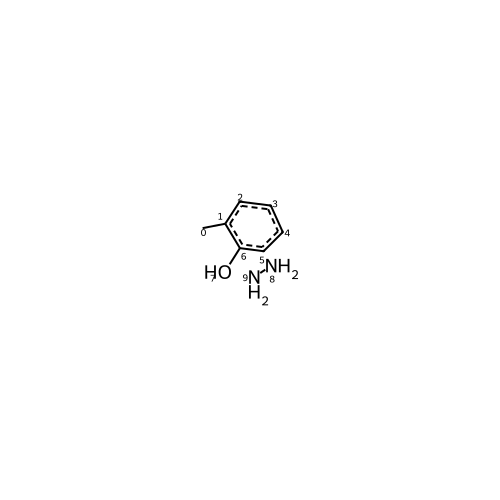 Cc1ccccc1O.NN